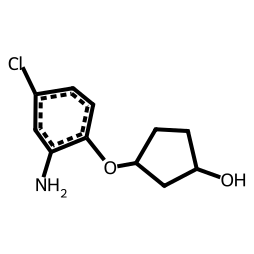 Nc1cc(Cl)ccc1OC1CCC(O)C1